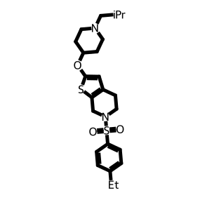 CCc1ccc(S(=O)(=O)N2CCc3cc(OC4CCN(CC(C)C)CC4)sc3C2)cc1